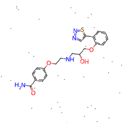 NC(=O)c1ccc(OCCNCC(O)COc2ccccc2-c2cnns2)cc1